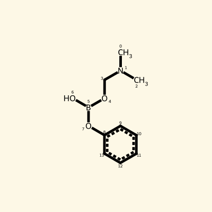 CN(C)COB(O)Oc1ccccc1